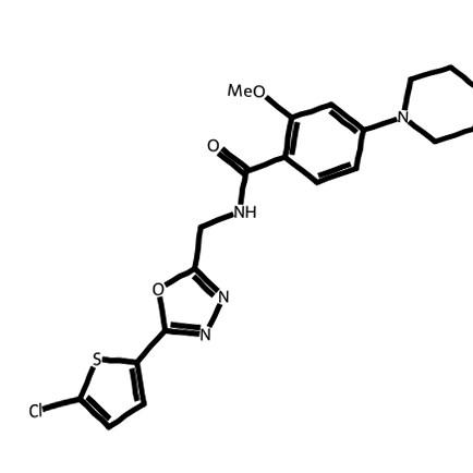 COc1cc(N2CCOCC2)ccc1C(=O)NCc1nnc(-c2ccc(Cl)s2)o1